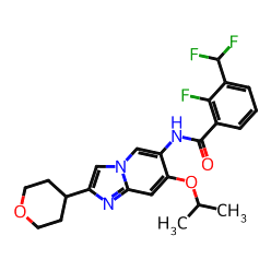 CC(C)Oc1cc2nc(C3CCOCC3)cn2cc1NC(=O)c1cccc(C(F)F)c1F